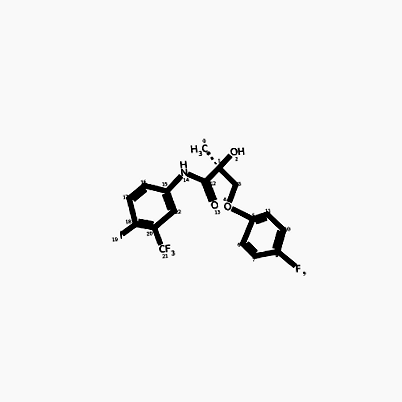 C[C@](O)(COc1ccc(F)cc1)C(=O)Nc1ccc(I)c(C(F)(F)F)c1